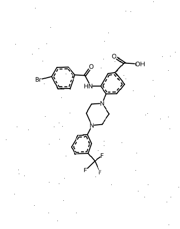 O=C(O)c1ccc(N2CCN(c3cccc(C(F)(F)F)c3)CC2)c(NC(=O)c2ccc(Br)cc2)c1